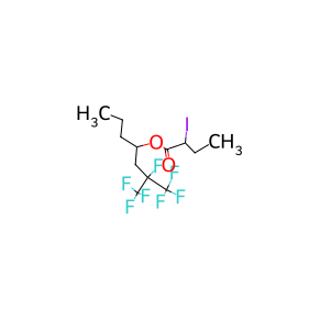 CCCC(CC(F)(C(F)(F)F)C(F)(F)F)OC(=O)C(I)CC